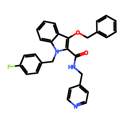 O=C(NCc1ccncc1)c1c(OCc2ccccc2)c2ccccc2n1Cc1ccc(F)cc1